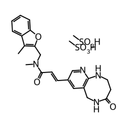 CS(=O)(=O)O.CS(=O)(=O)O.Cc1c(CN(C)C(=O)/C=C/c2cnc3c(c2)CNC(=O)CCN3)oc2ccccc12